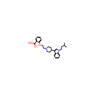 CC(C)CCn1cc(C2CCN(CCOc3ccccc3C(=O)O)CC2)c2ccccc21